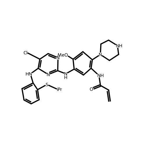 C=CC(=O)Nc1cc(Nc2ncc(Cl)c(Nc3ccccc3SC(C)C)n2)c(OC)cc1N1CCNCC1